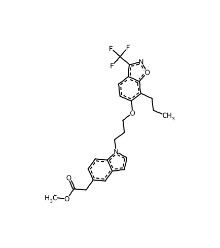 CCCc1c(OCCCn2ccc3cc(CC(=O)OC)ccc32)ccc2c(C(F)(F)F)noc12